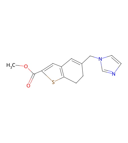 COC(=O)c1cc2c(s1)CCC(Cn1ccnc1)=C2